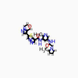 Cc1ncc(NC(=O)CN2CCC[C@@H]2C)cc1NC(=O)c1cnn2cc(-c3cnn4c3COCC4)sc12